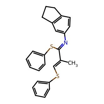 C/C(=C\Sc1ccccc1)C(=Nc1ccc2c(c1)CCC2)Sc1ccccc1